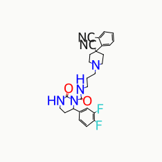 N#Cc1ccccc1C1(C#N)CCN(CCCNC(=O)N2C(=O)NCCC2c2ccc(F)c(F)c2)CC1